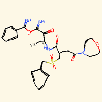 CC[C@H](NC(=O)C(CC(=O)N1CCOCC1)CS(=O)(=O)Cc1ccccc1)C(=O)C(=N)OC(=N)c1ccccc1